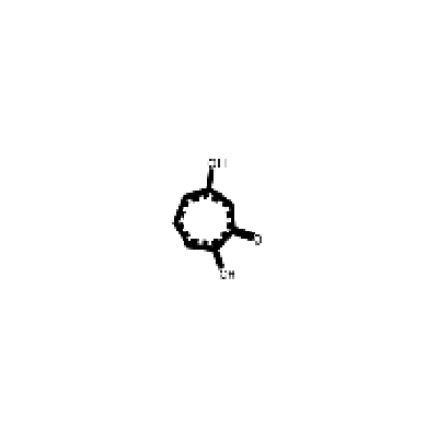 O=c1cc(O)cccc1O